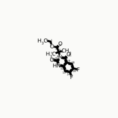 CCOC(=O)C(C)(C)n1c(=O)[nH]c2cc(F)c(F)cc2c1=O